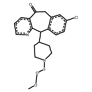 COOSN1CCC(C2c3ccc(Cl)cc3CC(=O)c3cccnc32)CC1